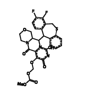 COC(=O)OCOc1c2n(c(O)nc1=O)C(C1c3ccccc3SCc3c1ccc(F)c3F)C1COCCN1C2=O